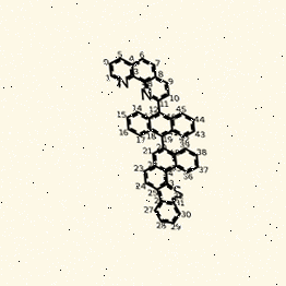 c1cnc2c(c1)ccc1ccc(-c3c4ccccc4c(-c4cc5ccc6c7ccccc7sc6c5c5ccccc45)c4ccccc34)nc12